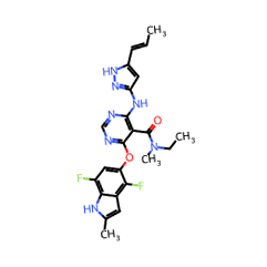 C/C=C/c1cc(Nc2ncnc(Oc3cc(F)c4[nH]c(C)cc4c3F)c2C(=O)N(C)CC)n[nH]1